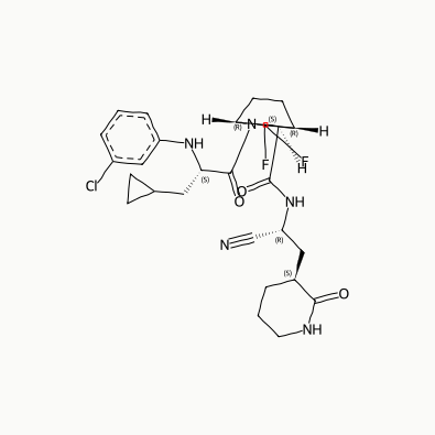 N#C[C@@H](C[C@@H]1CCCNC1=O)NC(=O)[C@@H]1[C@H]2CC[C@H](CC2(F)F)N1C(=O)[C@H](CC1CC1)Nc1cccc(Cl)c1